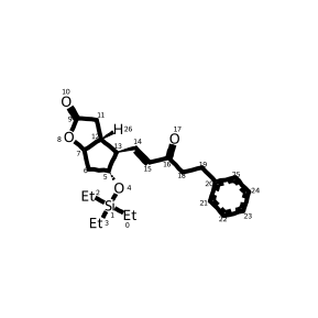 CC[Si](CC)(CC)O[C@@H]1CC2OC(=O)C[C@@H]2[C@H]1/C=C/C(=O)CCc1ccccc1